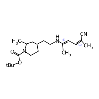 C/C(C#N)=C/C=C(\C)NCCC1CCN(C(=O)OC(C)(C)C)C(C)C1